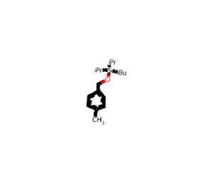 CCC(C)[Si](OCc1ccc(C)cc1)(C(C)C)C(C)C